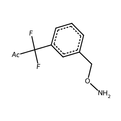 CC(=O)C(F)(F)c1cccc(CON)c1